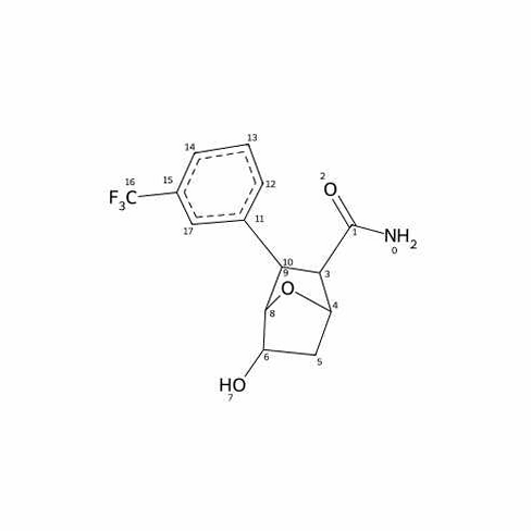 NC(=O)C1C2CC(O)C(O2)C1c1cccc(C(F)(F)F)c1